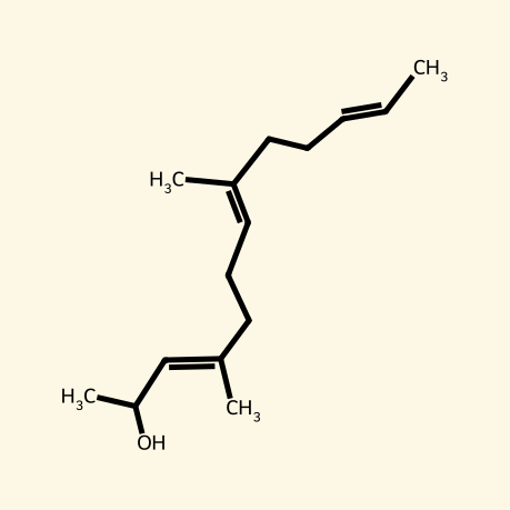 CC=CCCC(C)=CCCC(C)=CC(C)O